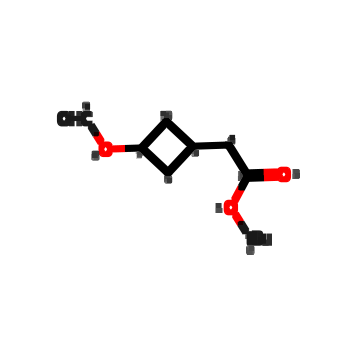 CC(C)(C)OC(=O)CC1CC(OC=O)C1